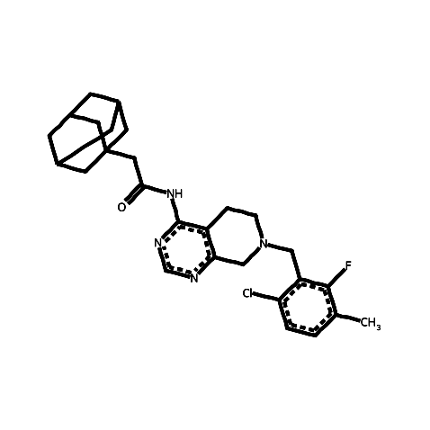 Cc1ccc(Cl)c(CN2CCc3c(ncnc3NC(=O)CC34CC5CC(CC(C5)C3)C4)C2)c1F